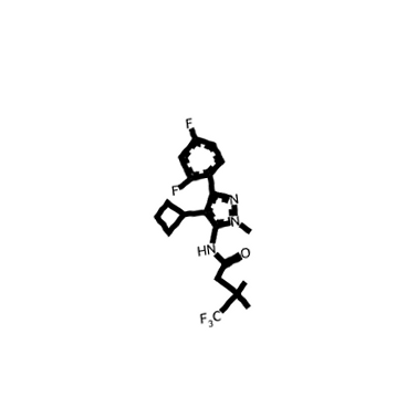 Cn1nc(-c2ccc(F)cc2F)c(C2CCC2)c1NC(=O)CC(C)(C)C(F)(F)F